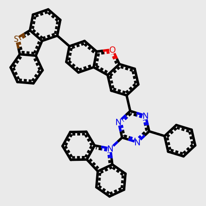 c1ccc(-c2nc(-c3ccc4oc5cc(-c6cccc7sc8ccccc8c67)ccc5c4c3)nc(-n3c4ccccc4c4ccccc43)n2)cc1